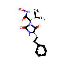 CC(C)[C@@H](C(=O)NO)N1C(=O)N[C@@H](CCc2ccccc2)C1=O